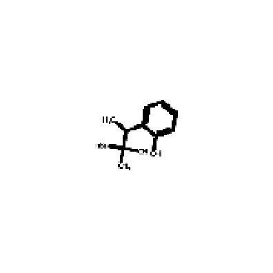 CCCCC(C)(C)C(C)c1ccccc1O